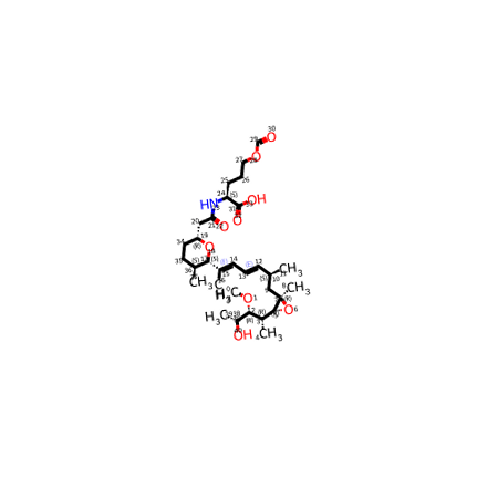 CO[C@H]([C@@H](C)[C@H]1O[C@]1(C)C[C@H](C)/C=C/C=C(\C)[C@H]1O[C@@H](CC(=O)N[C@@H](CCCOC=O)C(=O)O)CC[C@@H]1C)[C@@H](C)O